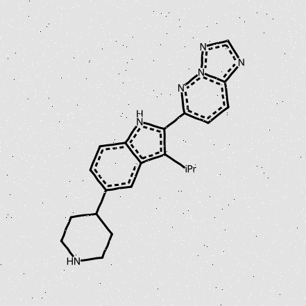 CC(C)c1c(-c2ccc3ncnn3n2)[nH]c2ccc(C3CCNCC3)cc12